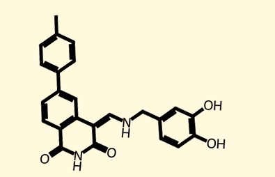 Cc1ccc(-c2ccc3c(c2)C(=CNCc2ccc(O)c(O)c2)C(=O)NC3=O)cc1